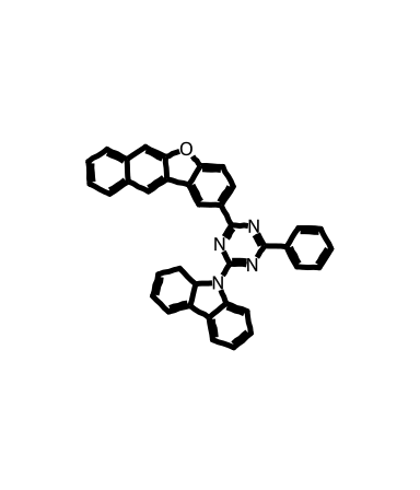 C1=CCC2C(=C1)c1ccccc1N2c1nc(-c2ccccc2)nc(-c2ccc3oc4cc5ccccc5cc4c3c2)n1